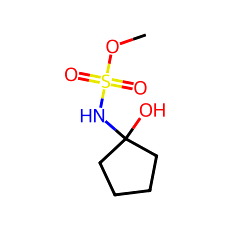 COS(=O)(=O)NC1(O)CCCC1